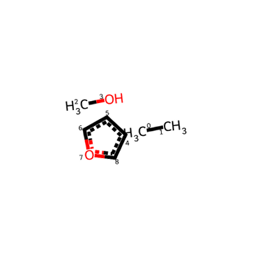 CC.CO.c1ccoc1